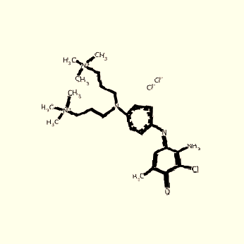 CC1=CC(=Nc2ccc(N(CCC[N+](C)(C)C)CCC[N+](C)(C)C)cc2)C(N)=C(Cl)C1=O.[Cl-].[Cl-]